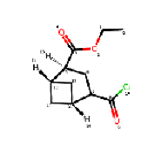 CCOC(=O)[C@H]1CC(C(=O)Cl)[C@H]2C[C@@H]1C2